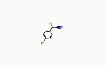 N#CC(Cl)c1ccc(Br)cc1